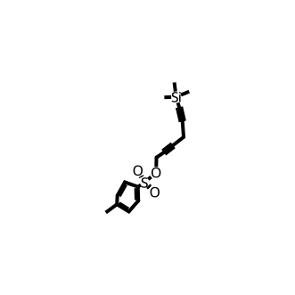 Cc1ccc(S(=O)(=O)OCC#CCC#C[Si](C)(C)C)cc1